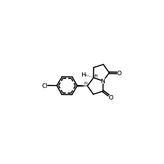 O=C1CC[C@@H]2[C@H](c3ccc(Cl)cc3)CC(=O)N12